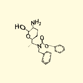 C[C@H]([C@@H]1CCC(N)C(O)O1)N(Cc1ccccc1)C(=O)OCc1ccccc1